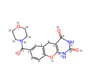 O=C(c1ccc2c(c1)Cc1c([nH]c(=O)[nH]c1=O)O2)N1CCOCC1